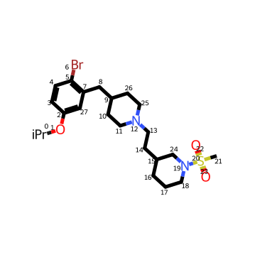 CC(C)Oc1ccc(Br)c(CC2CCN(CCC3CCCN(S(C)(=O)=O)C3)CC2)c1